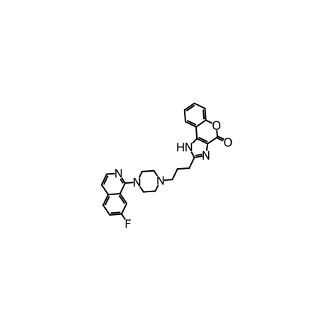 O=c1oc2ccccc2c2[nH]c(CCCN3CCN(c4nccc5ccc(F)cc45)CC3)nc12